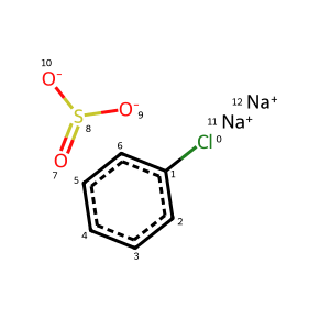 Clc1ccccc1.O=S([O-])[O-].[Na+].[Na+]